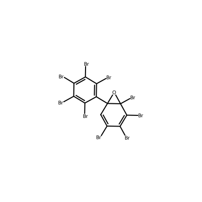 BrC1=CC2(c3c(Br)c(Br)c(Br)c(Br)c3Br)OC2(Br)C(Br)=C1Br